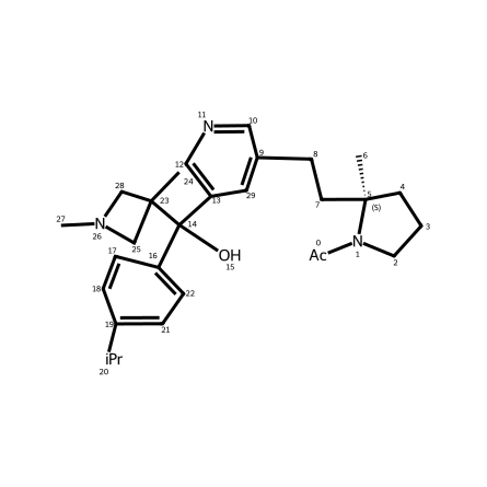 CC(=O)N1CCC[C@]1(C)CCc1cncc(C(O)(c2ccc(C(C)C)cc2)C2(C)CN(C)C2)c1